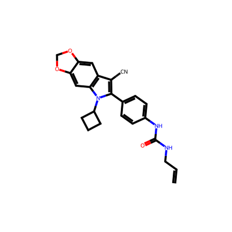 C=CCNC(=O)Nc1ccc(-c2c(C#N)c3cc4c(cc3n2C2CCC2)OCO4)cc1